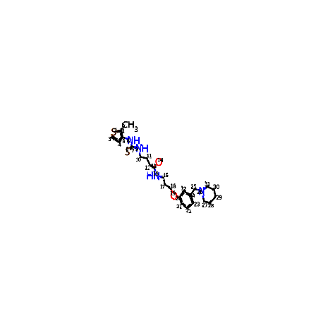 Cc1sccc1NC(=S)NCCCC(=O)NCCCOc1cccc(CN2CCCCC2)c1